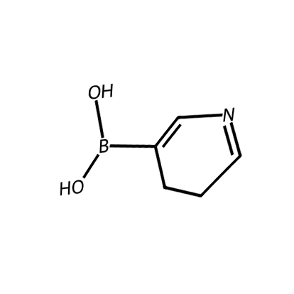 OB(O)C1=CN=CCC1